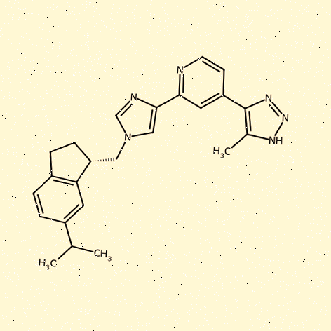 Cc1[nH]nnc1-c1ccnc(-c2cn(C[C@H]3CCc4ccc(C(C)C)cc43)cn2)c1